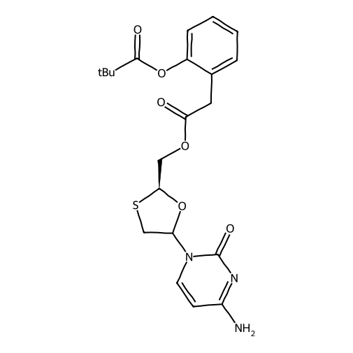 CC(C)(C)C(=O)Oc1ccccc1CC(=O)OC[C@H]1OC(n2ccc(N)nc2=O)CS1